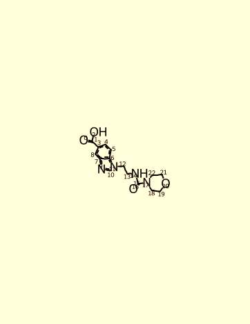 O=C(O)c1ccc2c(c1)ncn2CCNC(=O)N1CCOCC1